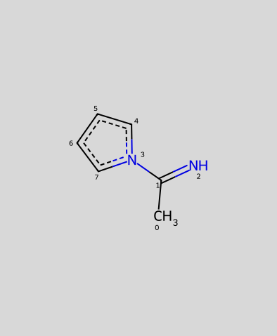 CC(=N)n1cccc1